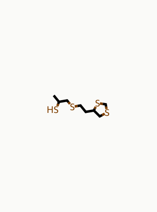 CC(S)CSCCC1CSCS1